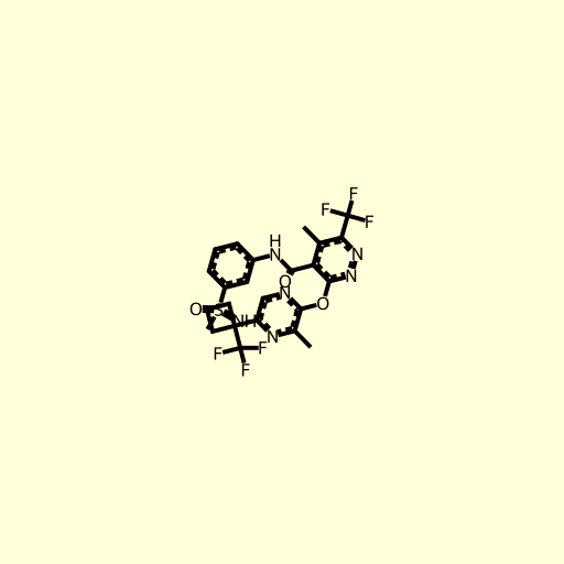 Cc1nc(C2(C(F)(F)F)CCC2)cnc1Oc1nnc(C(F)(F)F)c(C)c1C(=O)Nc1cccc(S(C)(=N)=O)c1